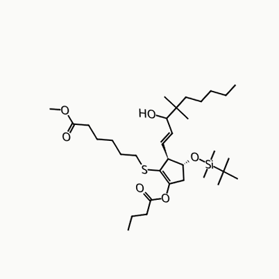 CCCCCC(C)(C)C(O)/C=C/[C@@H]1C(SCCCCCC(=O)OC)=C(OC(=O)CCC)C[C@H]1O[Si](C)(C)C(C)(C)C